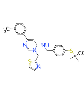 CC(C)(Sc1ccc(CNC2C=C(c3cccc(C(F)(F)F)c3)N=CN2Cc2nccs2)cc1)C(=O)O